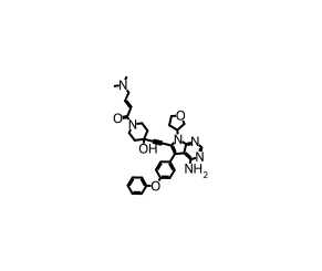 CN(C)C/C=C/C(=O)N1CCC(O)(C#Cc2c(-c3ccc(Oc4ccccc4)cc3)c3c(N)ncnc3n2C2CCOC2)CC1